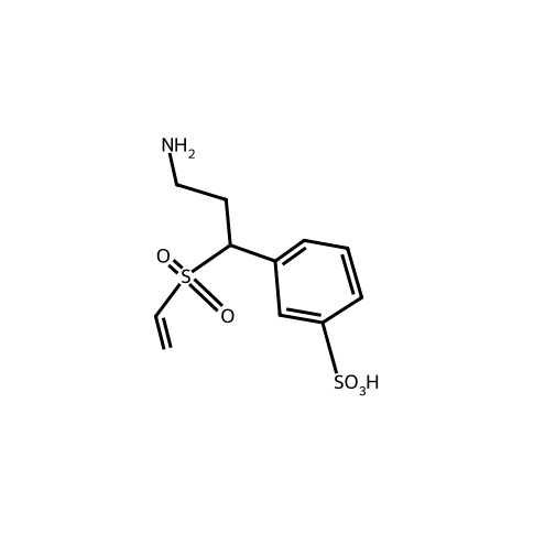 C=CS(=O)(=O)C(CCN)c1cccc(S(=O)(=O)O)c1